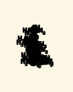 C[SiH]1O[SiH](C)O[Si](C)(CCCn2c(=O)n(CCC[Si]3(C)O[SiH](C)O[SiH](C)O[SiH](C)O3)c(=O)n(CCC[Si]3(C)O[SiH](C)O[SiH](C)O[Si](C)(CCCn4c(=O)n(CCC[Si]5(C)O[SiH](C)O[SiH](C)O[SiH](C)O5)c(=O)n(CCC[Si]5(C)O[SiH](C)O[SiH](C)O[Si](C)(CCCn6c(=O)n(CCC[Si]7(C)O[SiH](C)O[SiH](C)O[SiH](C)O7)c(=O)n(CCC[Si]7(C)O[SiH](C)O[Si](C)(C)O[SiH](C)O7)c6=O)O5)c4=O)O3)c2=O)O[SiH](C)O1